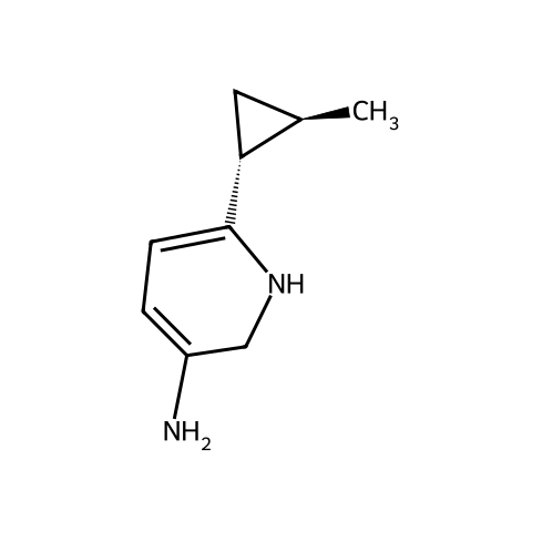 C[C@@H]1C[C@H]1C1=CC=C(N)CN1